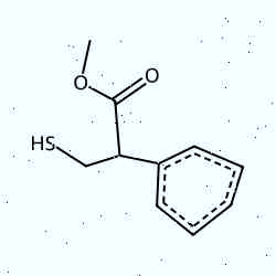 COC(=O)C(CS)c1ccccc1